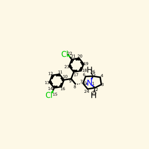 CN1[C@@H]2CC[C@H]1C[C@@H](CC(c1cccc(Cl)c1)c1cccc(Cl)c1)C2